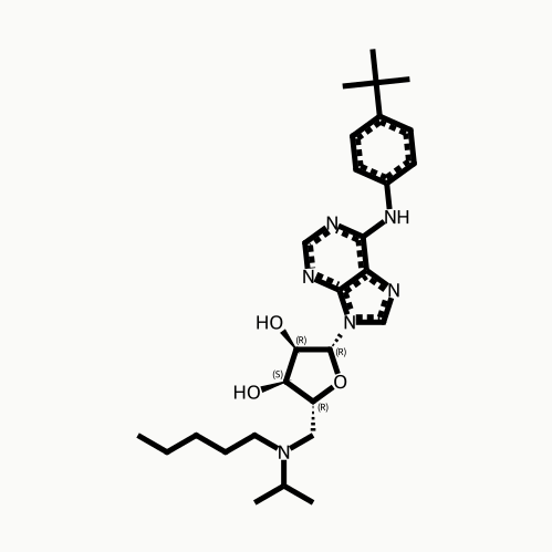 CCCCCN(C[C@H]1O[C@@H](n2cnc3c(Nc4ccc(C(C)(C)C)cc4)ncnc32)[C@H](O)[C@@H]1O)C(C)C